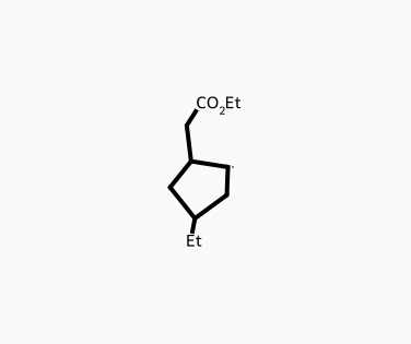 [CH2]CC1C[CH]C(CC(=O)OCC)C1